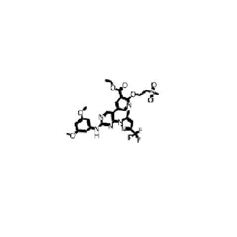 CCOC(=O)c1cc(-c2cnc(Nc3cc(OC)cc(OC)c3)nc2-n2nc(C(F)(F)F)cc2C)cnc1OCCS(C)(=O)=O